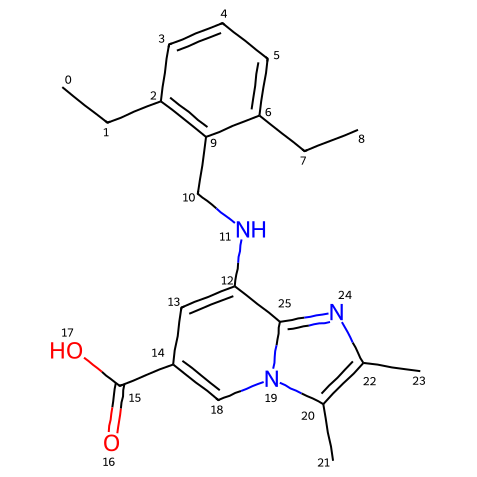 CCc1cccc(CC)c1CNc1cc(C(=O)O)cn2c(C)c(C)nc12